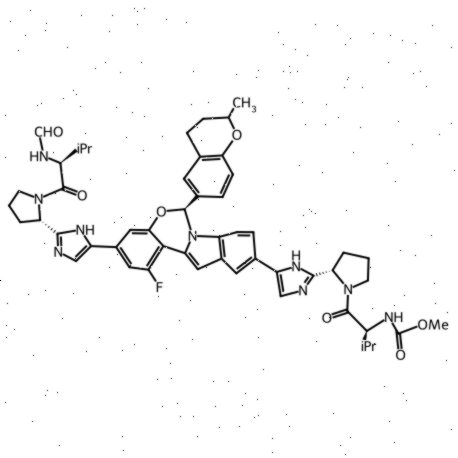 COC(=O)N[C@H](C(=O)N1CCC[C@H]1c1ncc(-c2ccc3c(c2)cc2n3[C@H](c3ccc4c(c3)CCC(C)O4)Oc3cc(-c4cnc([C@@H]5CCCN5C(=O)[C@@H](NC=O)C(C)C)[nH]4)cc(F)c3-2)[nH]1)C(C)C